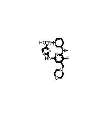 Cc1cnc(Nc2cc(CN3CCOCC3)c(F)c(NC3CCCN(C(=O)O)C3)n2)s1